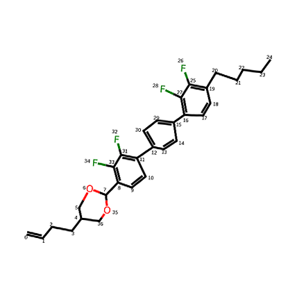 C=CCCC1COC(c2ccc(-c3ccc(-c4ccc(CCCCC)c(F)c4F)cc3)c(F)c2F)OC1